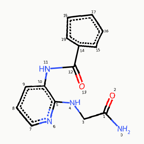 NC(=O)CNc1ncccc1NC(=O)c1ccccc1